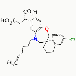 C=CCCCCN1C[C@@]2(CCCc3cc(Cl)ccc32)COc2ccc([C@H](CC(=O)O)C(=O)O)cc21